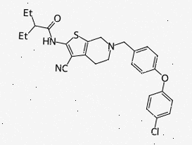 CCC(CC)C(=O)Nc1sc2c(c1C#N)CCN(Cc1ccc(Oc3ccc(Cl)cc3)cc1)C2